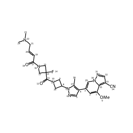 COc1cc(-c2cnn(C3CN(C(=O)C4(F)CN(C(=O)/C=C/CN(C)C)C4)C3)c2C)cn2ncc(C#N)c12